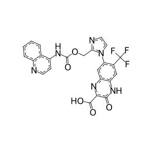 O=C(Nc1ccnc2ccccc12)OCc1nccn1-c1cc2nc(C(=O)O)c(=O)[nH]c2cc1C(F)(F)F